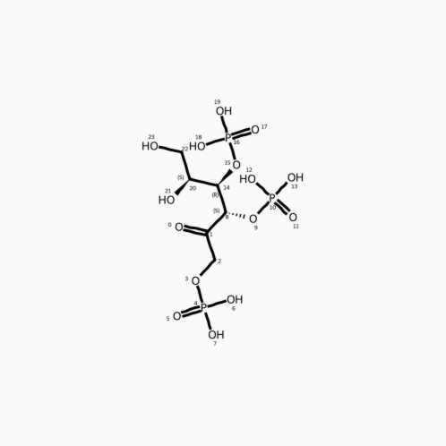 O=C(COP(=O)(O)O)[C@@H](OP(=O)(O)O)[C@H](OP(=O)(O)O)[C@@H](O)CO